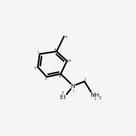 CCN(CN)c1cccc(C)c1